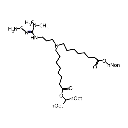 CCCCCCCCCOC(=O)CCCCCCCN(CCCCCCCC(=O)OC(CCCCCCCC)CCCCCCCC)CCCN/C(=N/SN)N(C)C